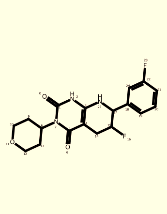 O=c1[nH]c2c(c(=O)n1C1CCOCC1)CC(F)C(c1cccc(F)c1)N2